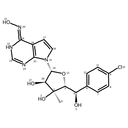 C[C@@]1(O)[C@@H]([C@H](O)c2ccc(Cl)cc2)O[C@@H](n2ccc3/c(=N/O)[nH]cnc32)[C@@H]1O